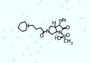 CCC[C@H]1C(=O)N(S(C)(=O)=O)[C@H]2CN(C(=O)CCCN3CCCCC3)C[C@H]12